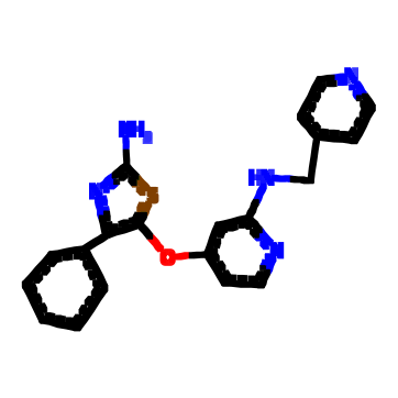 Nc1nc(-c2ccccc2)c(Oc2ccnc(NCc3ccncc3)c2)s1